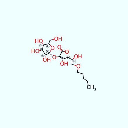 CCCCCOC[C@H](O)[C@H]1OC(=O)C(O[C@H]2O[C@H](CO)[C@@H](O)[C@H](O)[C@H]2O)=C1O